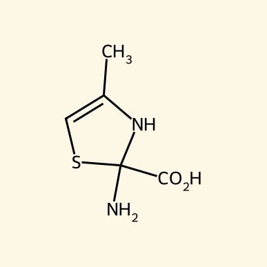 CC1=CSC(N)(C(=O)O)N1